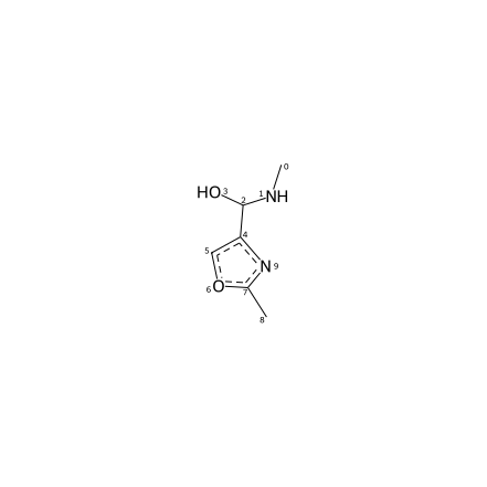 CNC(O)c1coc(C)n1